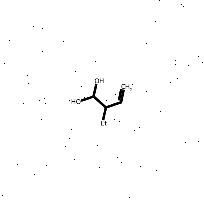 C=CC(CC)C(O)O